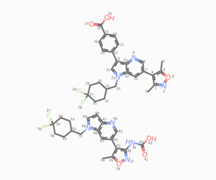 Cc1noc(C)c1-c1cnc2c(-c3ccc(C(=O)O)cc3)cn(CC3CCC(F)(F)CC3)c2c1.Cc1onc(NC(=O)O)c1-c1cnc2ccn(CC3CCC(F)(F)CC3)c2c1